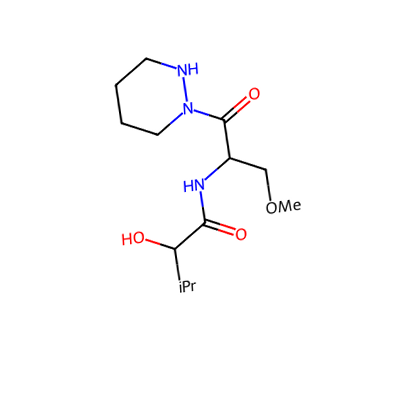 COCC(NC(=O)C(O)C(C)C)C(=O)N1CCCCN1